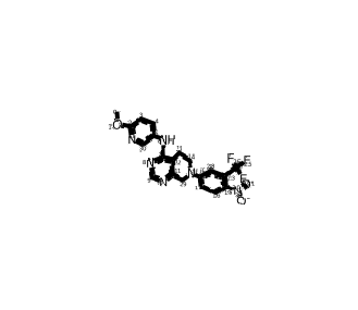 COc1ccc(Nc2ncnc3c2CCN(c2ccc([N+](=O)[O-])c(C(F)(F)F)c2)C3)cn1